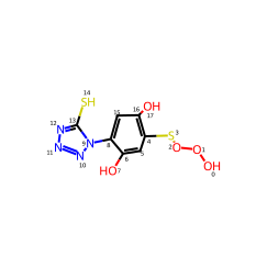 OOOSc1cc(O)c(-n2nnnc2S)cc1O